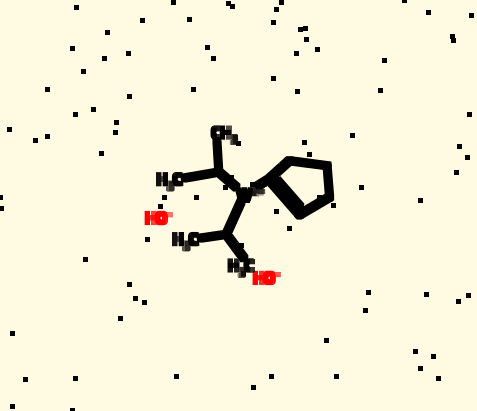 C[CH](C)[W+2]([C]1=CCCC1)[CH](C)C.[OH-].[OH-]